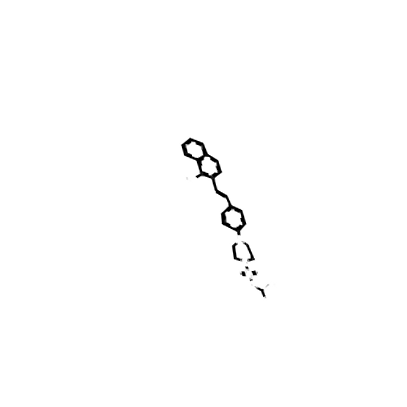 CCC[C@H](NS(=O)(=O)N1CCN(c2ccc(C=Cc3ccc4ccccc4c3C(C)=O)cc2)CC1)C(=O)O